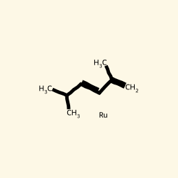 C=C(C)C=CC(C)C.[Ru]